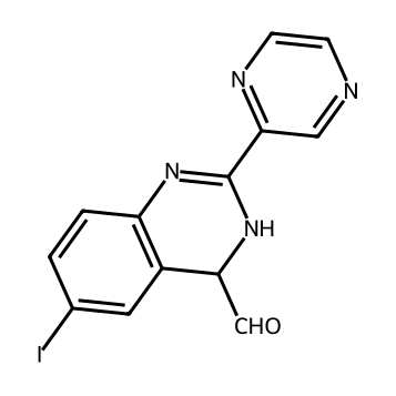 O=CC1NC(c2cnccn2)=Nc2ccc(I)cc21